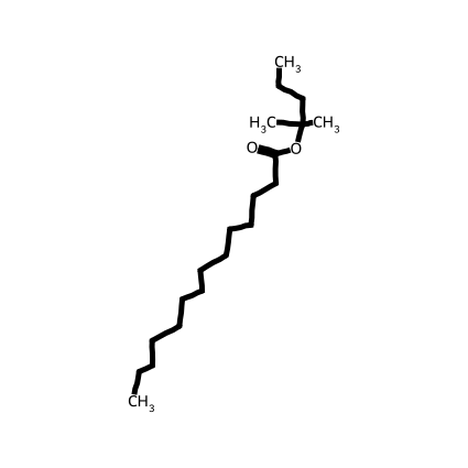 CCCCCCCCCCCCCC(=O)OC(C)(C)CCC